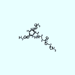 CCOC(=O)CCNCc1cc(OC)ccc1OC